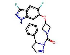 O=C(N1CC(Oc2cc3[nH]nc(F)c3cc2F)C1)N1N=CCC1c1ccccc1